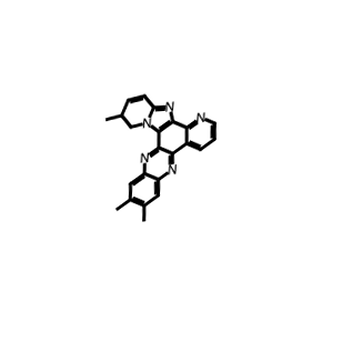 Cc1cc2nc3c4cccnc4c4nc5n(c4c3nc2cc1C)CC(C)C=C5